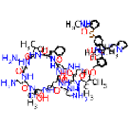 CNC(=O)c1ccccc1Sc1ccc2c(/C=C/c3ccccn3)nn(C(=O)Oc3c(COC(=O)C(C)C(C)C(=O)N[C@H](C(=O)N[C@@H](CCN)C(=O)N[C@H]4CCNC(=O)[C@H]([C@@H](C)O)NC(=O)[C@H](CCN)NC(=O)[C@H](CCN)NC(=O)[C@H](CC(C)C)NC(=O)[C@@H](Cc5ccccc5)NC(=O)[C@H](CCN)NC4=O)[C@@H](C)O)cccc3C(C)(C)C)c2c1